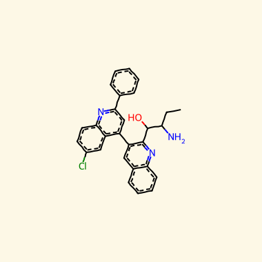 CCC(N)C(O)c1nc2ccccc2cc1-c1cc(-c2ccccc2)nc2ccc(Cl)cc12